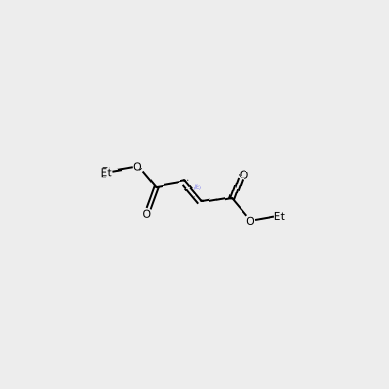 CCOC(=O)/[C]=C/C(=O)OCC